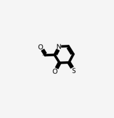 O=[C]C1=NC=CC(=S)C1=O